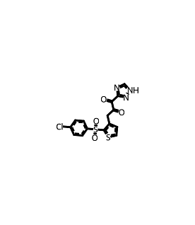 O=C(Cc1ccsc1S(=O)(=O)c1ccc(Cl)cc1)C(=O)c1nc[nH]n1